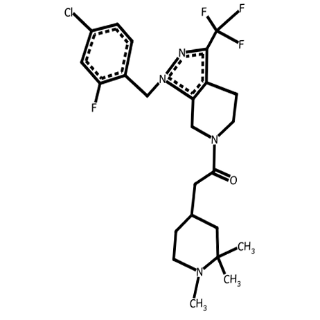 CN1CCC(CC(=O)N2CCc3c(C(F)(F)F)nn(Cc4ccc(Cl)cc4F)c3C2)CC1(C)C